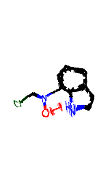 ON(CCl)c1cccc2cc[nH]c12